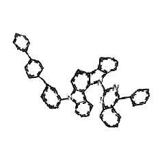 c1ccc(-c2ccc(-c3cccc(-n4c5ccccc5c5c4ccc4c6ccccc6n(-c6nc(-c7ccccc7)c7ccccc7n6)c45)c3)cc2)cc1